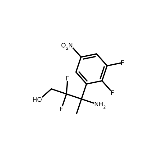 CC(N)(c1cc([N+](=O)[O-])cc(F)c1F)C(F)(F)CO